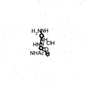 CC(=O)NC(C(=O)N1CCCC1)c1ccc2[nH]c(CNc3ccc(C(=N)N)cc3)nc2c1C.Cl